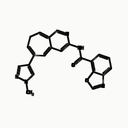 Cn1cc(C2=CCC=c3cnc(NC(=O)c4cccc5ncoc45)cc3=C2)cn1